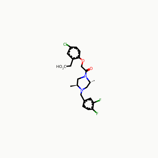 C[C@@H]1CN(Cc2ccc(F)c(F)c2)[C@@H](C)CN1C(=O)COc1ccc(Cl)cc1CC(=O)O